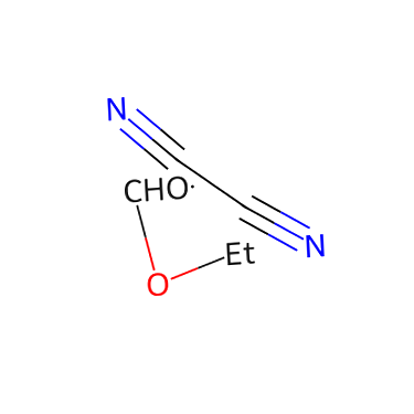 CCO[C]=O.N#CC#N